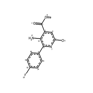 COC(=O)c1cc(Cl)nc(-c2ccc(F)cc2)c1N